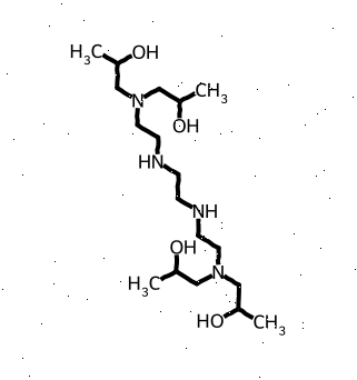 CC(O)CN(CCNCCNCCN(CC(C)O)CC(C)O)CC(C)O